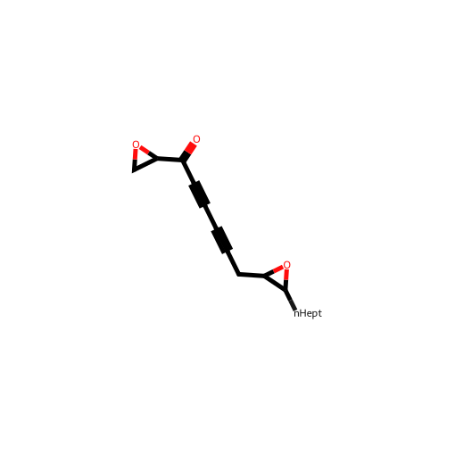 CCCCCCCC1OC1CC#CC#CC(=O)C1CO1